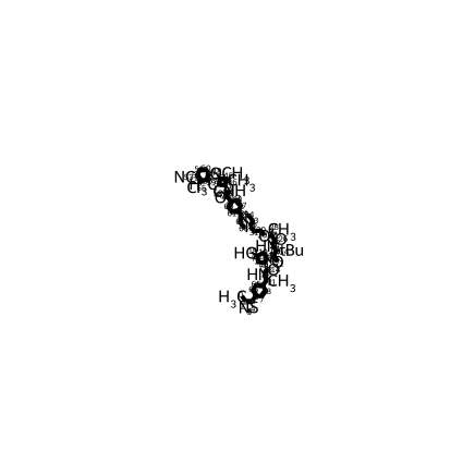 Cc1ncsc1-c1ccc(C(C)NC(=O)[C@@H]2C[C@@H](O)CN2C(=O)[C@@H](NC(=O)[C@H](C)OCCN2CCN(c3ccc(C(=O)N[C@H]4C(C)(C)[C@H](Oc5ccc(C#N)c(Cl)c5)C4(C)C)cc3)CC2)C(C)(C)C)cc1